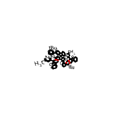 Cc1cnc(N(c2ccc(C(C)(C)C)cc2)c2ccc3c(c2)C2(c4ccccc4-c4ccccc42)c2cc(N(c4ccc(C(C)(C)C)cc4)c4ncc(C)cc4-c4cccc5c4oc4ccccc45)c4c(oc5ccccc54)c2-3)c(-c2cccc3c2oc2ccccc23)c1